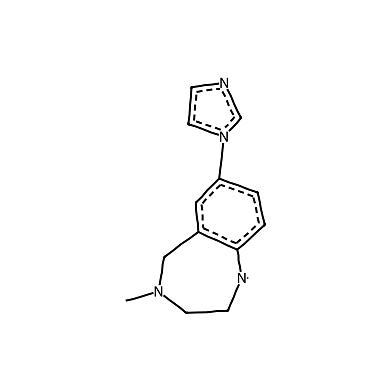 CN1CC[N]c2ccc(-n3ccnc3)cc2C1